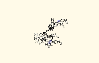 C=C/C(=C\C(=C/C)CC(=C)N(C)C(=C)SC(=C)CCCCc1ccc(NC(=O)C/C(C)=C/C)nn1)CNC